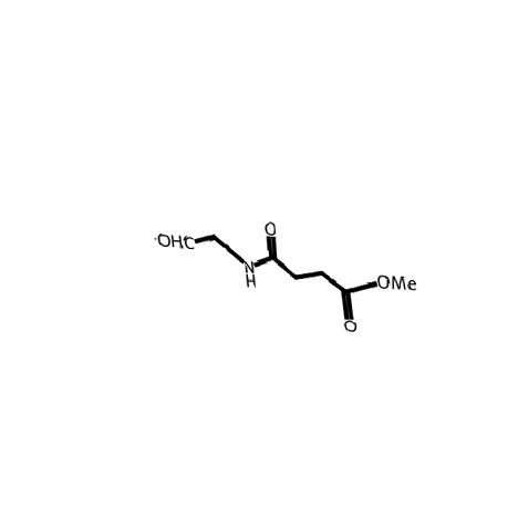 COC(=O)CCC(=O)NC[C]=O